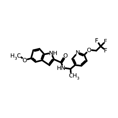 COc1ccc2[nH]c(C(=O)NC(C)c3ccc(OCC(F)(F)F)nc3)cc2c1